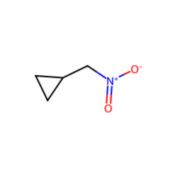 O=[N+]([O-])CC1CC1